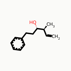 C=C[C@H](C)[C@@H](O)CCc1ccccc1